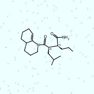 CCC[C@H](C(N)=O)[C@@H](CC(C)C)C(=O)N1CCCC2CCCC=C21